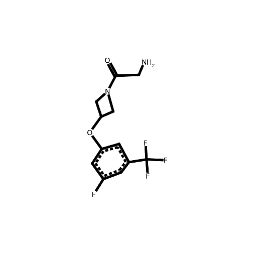 NCC(=O)N1CC(Oc2cc(F)cc(C(F)(F)F)c2)C1